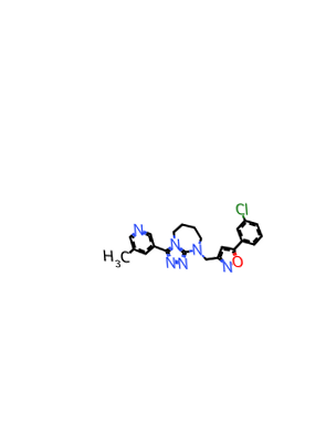 Cc1cncc(-c2nnc3n2CCCCN3Cc2cc(-c3cccc(Cl)c3)on2)c1